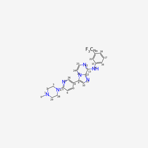 CN1CCN(c2ccc(-c3cnc4c(Nc5cccc(C(F)(F)F)c5)nccn34)cn2)CC1